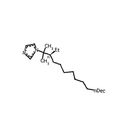 CCCCCCCCCCCCCCCCC[C@H](CC)C(C)(C)n1ccnc1